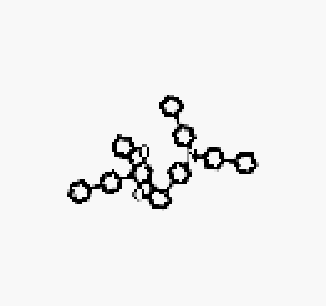 c1ccc(-c2ccc(-c3c4oc5cccc(-c6ccc(N(c7ccc(-c8ccccc8)cc7)c7ccc(-c8ccccc8)cc7)cc6)c5c4cc4oc5ccccc5c34)cc2)cc1